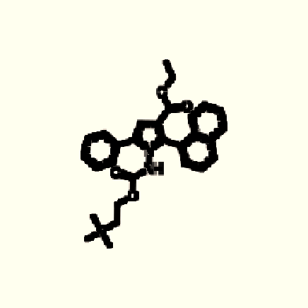 CCOC(=O)c1cc(-c2ccccc2)n(NC(=O)OCC[Si](C)(C)C)c1-c1cccc2ccccc12